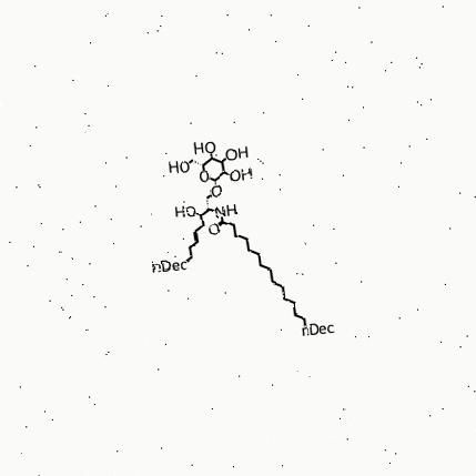 CCCCCCCCCCCCC=CC[C@@H](O)[C@H](CO[C@@H]1O[C@H](CO)[C@@H](O)C(O)C1O)NC(=O)CCCCCCCCCCCCCCCCCCCCCCC